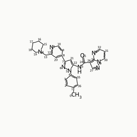 Cc1ccc(-n2nc(-c3ccnc(CN4CCCCC4)c3)cc2NC(=O)c2cnn3cccnc23)cc1